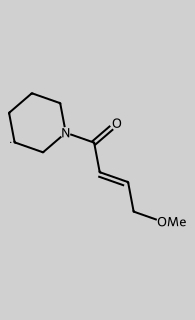 COCC=CC(=O)N1C[CH]CCC1